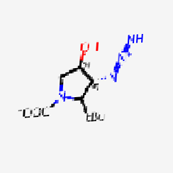 CC(C)(C)C1[C@@H](N=[N+]=N)[C@H](O)CN1C(=O)[O-]